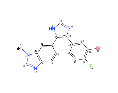 CC(C)n1nnc2ccc(-c3[nH]cnc3-c3ccc(F)c(Br)c3)cc21